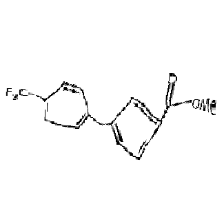 COC(=O)c1cccc(-c2ccc(C(F)(F)F)cc2)c1